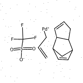 C1=CC2C3C=CC(C3)C2C1.C=C[CH2][Pd+].O=S(=O)([O-])C(F)(F)F